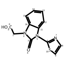 O=C(O)Cn1c(=O)n(-c2nccs2)c2ccccc21